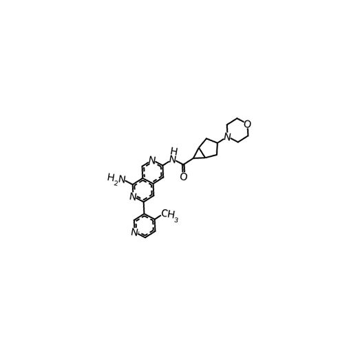 Cc1ccncc1-c1cc2cc(NC(=O)C3C4CC(N5CCOCC5)CC43)ncc2c(N)n1